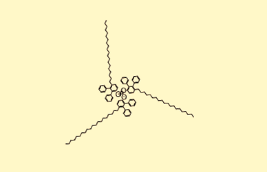 CCCCCCCCCCCCCCCCCCCCc1ccc(OP(Oc2ccc(CCCCCCCCCCCCCCCCCCCC)c(-c3ccccc3)c2-c2ccccc2)Oc2ccc(CCCCCCCCCCCCCCCCCCCC)c(-c3ccccc3)c2-c2ccccc2)c(-c2ccccc2)c1-c1ccccc1